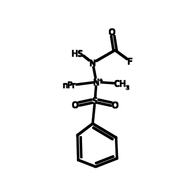 CCC[N+](C)(N(S)C(=O)F)S(=O)(=O)c1ccccc1